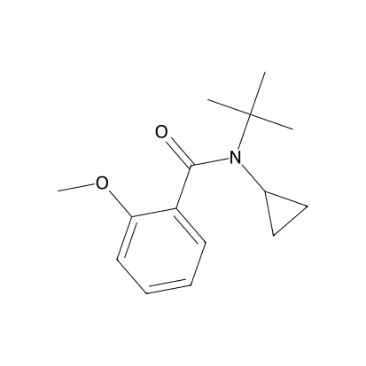 COc1ccccc1C(=O)N(C1CC1)C(C)(C)C